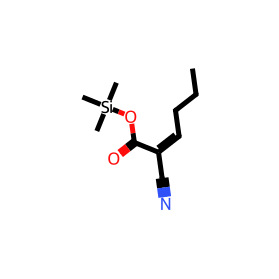 CCCC=C(C#N)C(=O)O[Si](C)(C)C